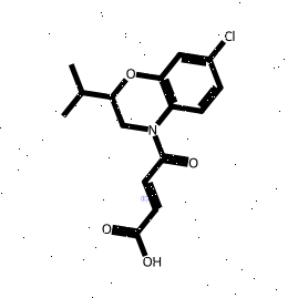 CC(C)C1CN(C(=O)/C=C/C(=O)O)c2ccc(Cl)cc2O1